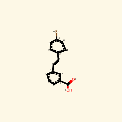 O=C(O)c1cccc(C=Cc2ccc(Br)cc2)c1